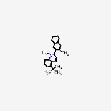 Cc1cc2ccccc2cc1-c1ccc2c(C(C)(C)C)cccc2[n+]1C